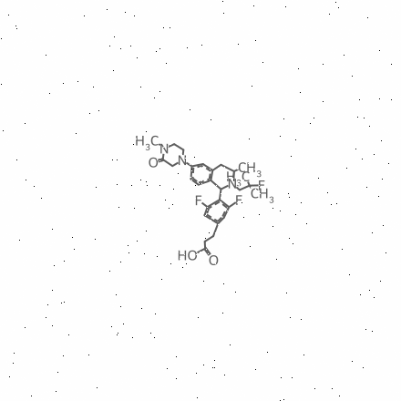 CC1Cc2cc(N3CCN(C)C(=O)C3)ccc2C(c2c(F)cc(CCC(=O)O)cc2F)N1CC(C)(C)F